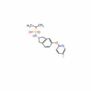 CC(C)S(=O)(=O)N[C@H]1Cc2ccc(Oc3ccc(F)cn3)cc2C1